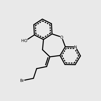 Oc1cccc2c1C/C(=C\CCBr)c1cccnc1O2